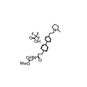 COC(=O)CNC(=O)CCc1ccc(-c2ccc(CCN3CCCC3C)cc2)cc1.O=C(O)C(F)(F)F